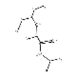 CCC(CC)OC(C)C(=O)OC(C)C